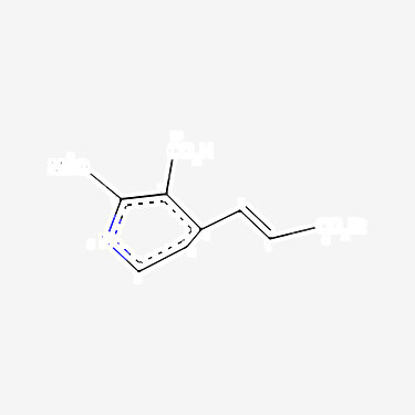 CCOC(=O)C=Cc1ccnc(OC)c1C(=O)O